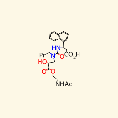 CC(=O)NCCOC(=O)C(O)CN(CC(C)C)C(=O)NC(CC(=O)O)c1cccc2ccccc12